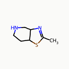 CC1=NC2CNCCC2S1